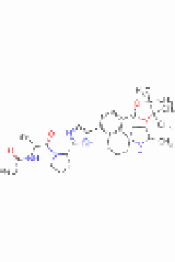 COC(=O)N[C@H](C(=O)N1CCC[C@H]1c1ncc(-c2ccc(B3OC(C)(C)C(C)(C)O3)c3c2CCCC32CCC(C)N2)[nH]1)C(C)C